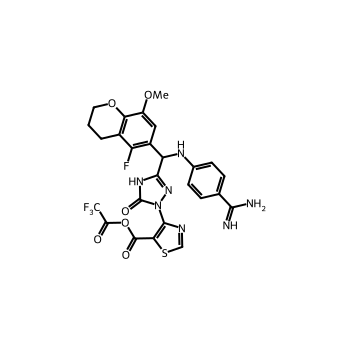 COc1cc(C(Nc2ccc(C(=N)N)cc2)c2nn(-c3ncsc3C(=O)OC(=O)C(F)(F)F)c(=O)[nH]2)c(F)c2c1OCCC2